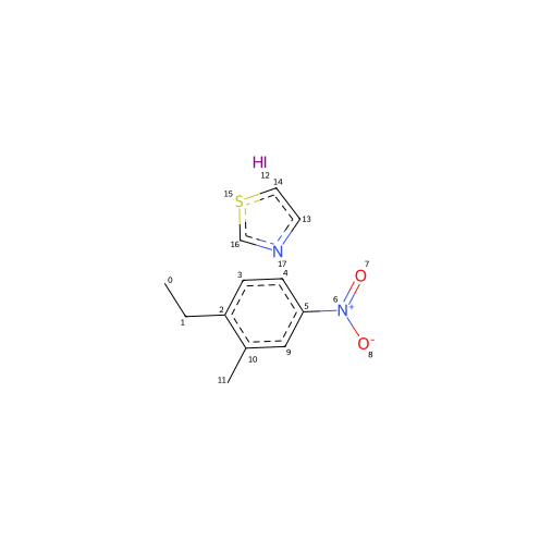 CCc1ccc([N+](=O)[O-])cc1C.I.c1cscn1